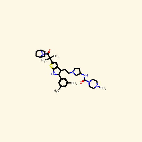 Cc1cc(C)cc(C2Nc3sc(C(C)(C)C(=O)N4C5CCC4CC5)cc3C2CCN2CCC(NC(=O)N3CCN(C)CC3)C2)c1